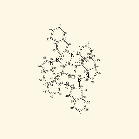 c1ccc(N2c3cc4ccccc4cc3B3c4c(c5c6c(c42)-c2cccc4ccn(c24)B6c2cc4ccccc4cc2N5c2ccccc2)-c2cccc4ccn3c24)cc1